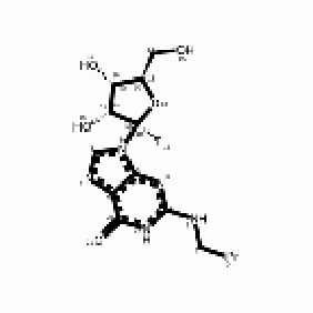 CC(C)CNc1nc2c(ncn2[C@]2(F)O[C@H](CO)[C@@H](O)[C@H]2O)c(=O)[nH]1